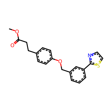 COC(=O)CCc1ccc(OCc2cccc(-c3nccs3)c2)cc1